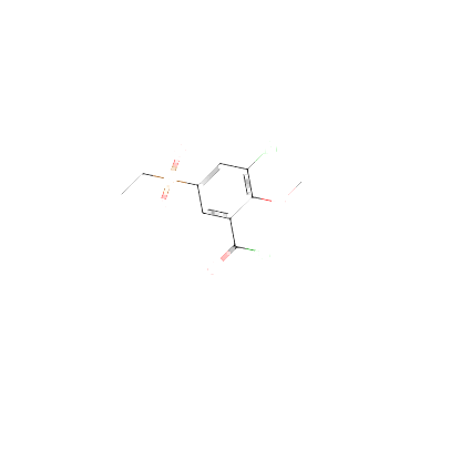 CCS(=O)(=O)c1cc(Br)c(OC)c(C(=O)Cl)c1